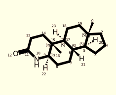 C[C@@]12CCC[C@H]1[C@@H]1CC[C@H]3NC(=O)CC[C@]3(C)[C@H]1CC2